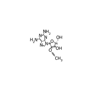 CC#CO[C@@H]1[C@H](O)[C@@H](CO)O[C@H]1n1cnc2c(N)nc(N)nc21